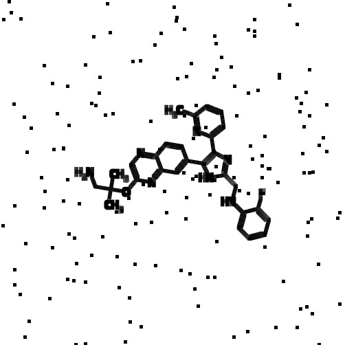 Cc1cccc(-c2nc(CNc3ccccc3F)[nH]c2-c2ccc3ncc(OC(C)(C)CN)nc3c2)n1